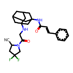 N#CC1CC(F)(F)CN1C(=O)CNC12CC3CC(C1)CC(NC(=O)/C=C/c1ccccc1)(C3)C2